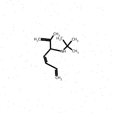 C=C/C=C\C(NC(C)(C)C)C(=C)C